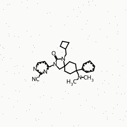 CN(C)C1(c2ccccc2)CCC2(CC1)CN(c1ccnc(C#N)n1)C(=O)N2CC1CCC1